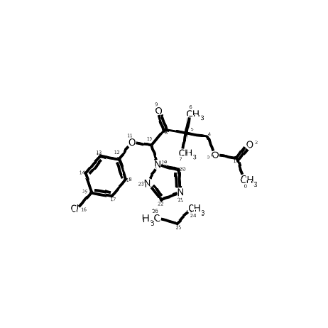 CC(=O)OCC(C)(C)C(=O)C(Oc1ccc(Cl)cc1)n1cncn1.CCC